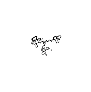 Cc1cc(C)n(CCN(CCCCc2ccc3c(n2)NCCC3)CC[C@H](Nc2ccccn2)C(=O)O)n1